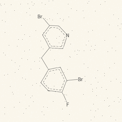 Fc1ccc([CH]c2cncc(Br)c2)cc1Br